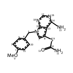 COc1ccc(Cn2cc(SC(N)=O)c3c(N)ncnc32)cc1